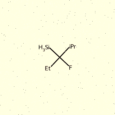 CCC(F)([SiH3])C(C)C